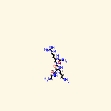 N=C(N)NCCCC(CNC(=O)NC(CCCCN)CNC(=O)NCCN)NC(N)=O